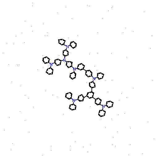 c1ccc(N(c2ccccc2)c2ccc(-c3cc(-c4ccc(N(c5ccccc5)c5ccccc5)cc4)cc(-c4ccc(N(c5ccccc5)c5ccc(-c6cccc(N(c7ccccc7)c7ccc(N(c8ccc(N(c9ccccc9)c9ccccc9)cc8)c8ccc(N(c9ccccc9)c9ccccc9)cc8)cc7)c6)cc5)cc4)c3)cc2)cc1